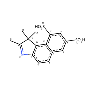 CC1=Nc2ccc3cc(S(=O)(=O)O)cc(S(=O)(=O)O)c3c2C1(C)C